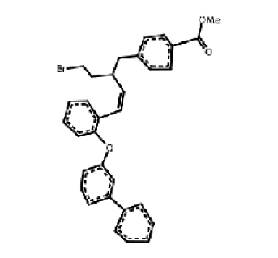 COC(=O)c1ccc(CC(/C=C\c2ccccc2Oc2cccc(-c3ccccc3)c2)CCBr)cc1